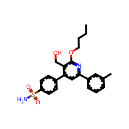 CCCCOc1nc(-c2cccc(C)c2)cc(-c2ccc(S(N)(=O)=O)cc2)c1CO